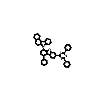 c1ccc(-c2nc(-c3ccccc3)nc(-c3ccc4c(c3)oc3c(-n5c6ccccc6c6c7ccccc7ccc65)ccc(-c5ccccc5)c34)n2)cc1